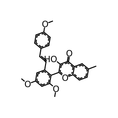 COc1ccc(/C=C/c2cc(OC)cc(OC)c2-c2oc3ccc(C)cc3c(=O)c2O)cc1